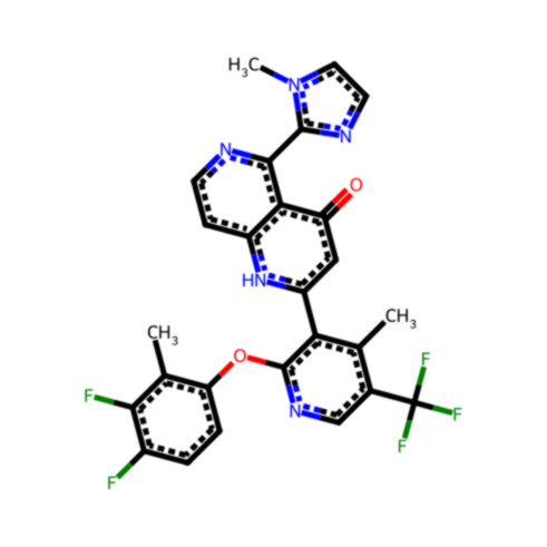 Cc1c(Oc2ncc(C(F)(F)F)c(C)c2-c2cc(=O)c3c(-c4nccn4C)nccc3[nH]2)ccc(F)c1F